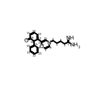 N=C(N)CCCCN1C=COC(C2=CC=CC(=O)C2c2ccccc2)=C1